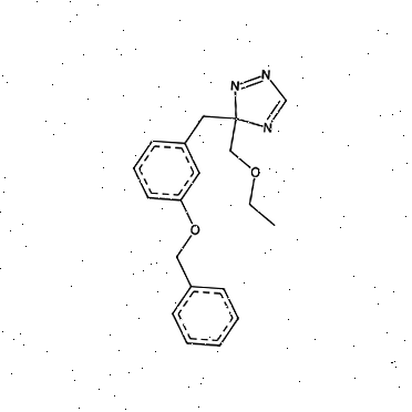 CCOCC1(Cc2cccc(OCc3ccccc3)c2)N=CN=N1